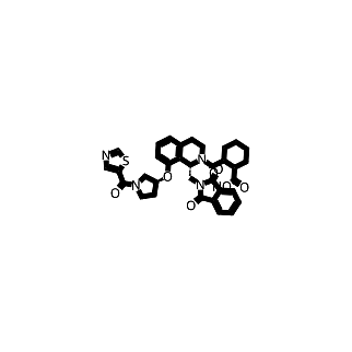 O=C(O)C1CCCCC1C(=O)N1CCc2cccc(O[C@H]3CCN(C(=O)c4cncs4)C3)c2[C@H]1CN1C(=O)c2ccccc2C1=O